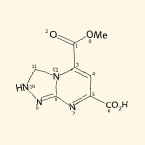 COC(=O)C1=CC(C(=O)O)=NC2=NNCN12